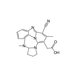 Cc1c(CC(=O)O)c(N2CCCC2N(C)C)n2c(nc3ccccc32)c1C#N